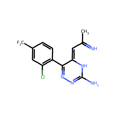 CC(=N)/C=C1\NC(N)=NN=C1c1ccc(C(F)(F)F)cc1Cl